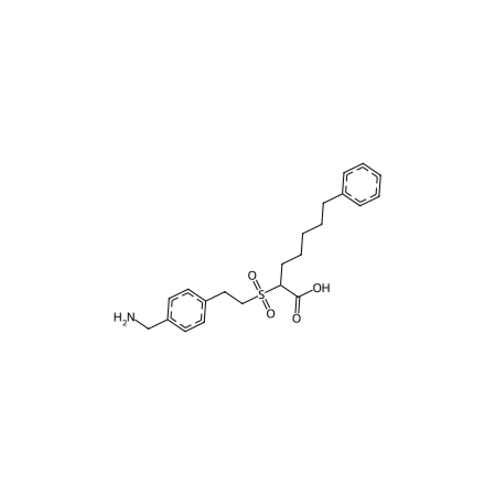 NCc1ccc(CCS(=O)(=O)C(CCCCCc2ccccc2)C(=O)O)cc1